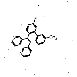 Cc1cccc(-c2cc(F)ccc2C(Cc2cccnc2)c2cccnc2)c1